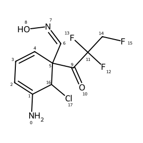 NC1=CC=CC(/C=N\O)(C(=O)C(F)(F)CF)C1Cl